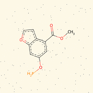 COC(=O)c1cc(OP)cc2occc12